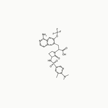 Cc1cc(S(=O)(=O)NC2CCN(C(Cc3cc4ccnc(N)c4cc3OC(F)(F)F)C(=O)O)C2=O)cnc1N(C)C